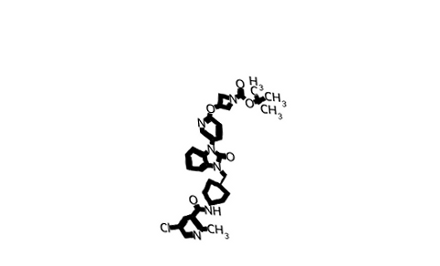 Cc1ncc(Cl)cc1C(=O)N[C@H]1CC[C@H](Cn2c(=O)n(-c3ccc(OC4CN(C(=O)OC(C)(C)C)C4)nc3)c3ccccc32)CC1